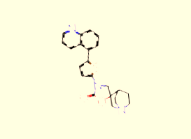 O=C1OC2(CN3CCC2CC3)CN1c1ccc(-c2cccc3ncccc23)s1